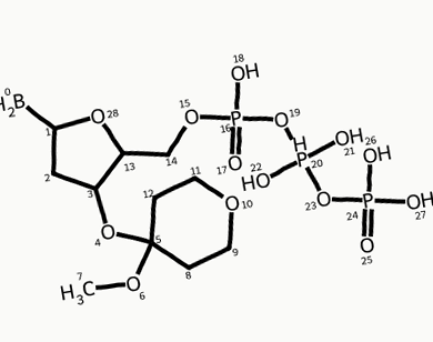 BC1CC(OC2(OC)CCOCC2)C(COP(=O)(O)O[PH](O)(O)OP(=O)(O)O)O1